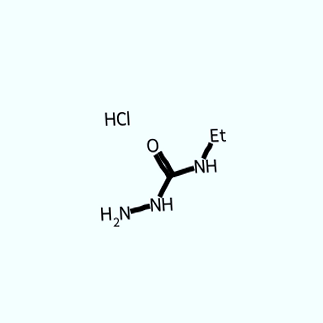 CCNC(=O)NN.Cl